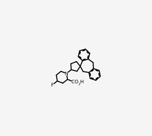 O=C(O)C1CC(F)CCN1C1CCC2(Cc3ccccc3Cc3ccccc32)C1